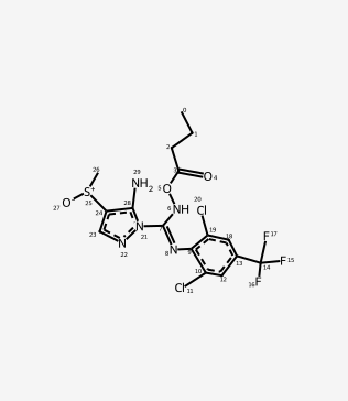 CCCC(=O)ONC(=Nc1c(Cl)cc(C(F)(F)F)cc1Cl)n1ncc([S+](C)[O-])c1N